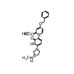 CN[C@@H]1CCN(c2ccc(-n3ccc(OCc4ccccc4)cc3=O)c(=O)[nH]2)C1.Cl.Cl